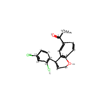 COC(=O)c1ccc2c(c1)C(c1ccc(Cl)cc1Cl)=CCO2